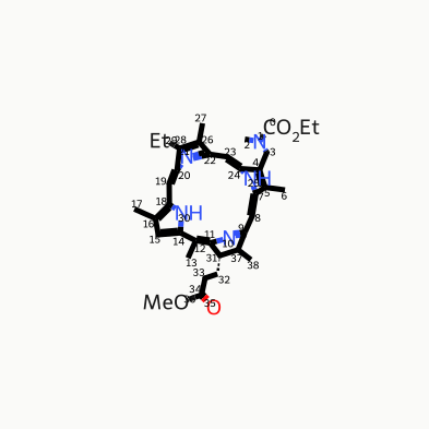 CCOC(=O)N(C)Cc1c(C)c2cc3nc(c(C)c4cc(C)c(cc5nc(cc1[nH]2)C(C)=C5CC)[nH]4)[C@@H](CCC(=O)OC)C3C